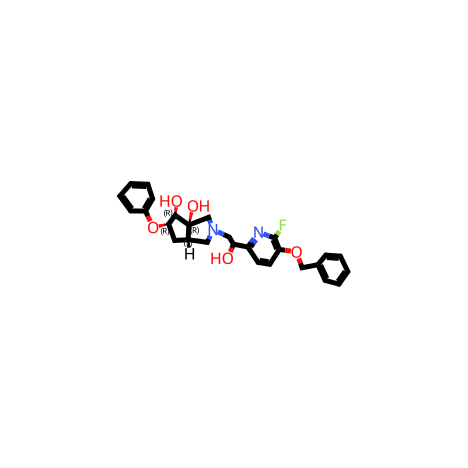 OC(CN1C[C@@H]2C[C@@H](Oc3ccccc3)[C@@H](O)[C@]2(O)C1)c1ccc(OCc2ccccc2)c(F)n1